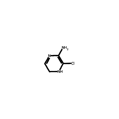 NC1=C(Cl)NCC=N1